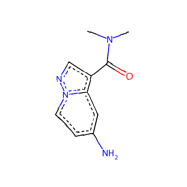 CN(C)C(=O)c1cnn2ccc(N)cc12